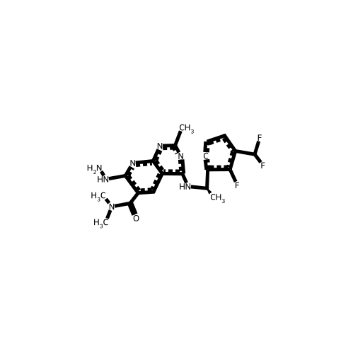 Cc1nc(N[C@H](C)c2cccc(C(F)F)c2F)c2cc(C(=O)N(C)C)c(NN)nc2n1